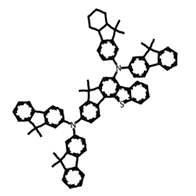 CC1(C)c2ccccc2-c2ccc(N(c3ccc4c(c3)C(C)(C)c3ccccc3-4)c3ccc4c(c3)C(C)(C)c3cc(N(c5ccc6c(c5)C(C)(C)c5ccccc5-6)c5ccc6c(c5)C(C)(C)C5CCCCC65)c5c(sc6ccccc65)c3-4)cc21